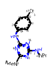 CCCNc1nc(NC)nc(Nc2ccc(C(F)(F)F)cc2)n1